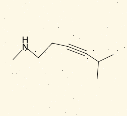 CNCCC#CC(C)C